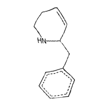 C1=CC(Cc2ccccc2)NCC1